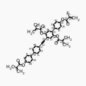 C=C(C)C(=O)Oc1ccc(-c2ccc(C#Cc3cc(OC(=O)C(=C)C)c(-c4ccc(OC(=O)C(=C)F)cc4)cc3OC(=O)C(=C)C)cc2)cc1